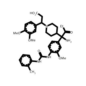 CCC(=O)C(N)(c1ccc(NC(=O)Nc2ccccc2C)c(OC)c1)C1CCN(C(CC(=O)O)c2ccc(OC)c(OC)c2)CC1